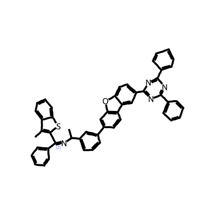 Cc1c(/C(=N\C(C)c2cccc(-c3ccc4c(c3)oc3ccc(-c5nc(-c6ccccc6)nc(-c6ccccc6)n5)cc34)c2)c2ccccc2)sc2ccccc12